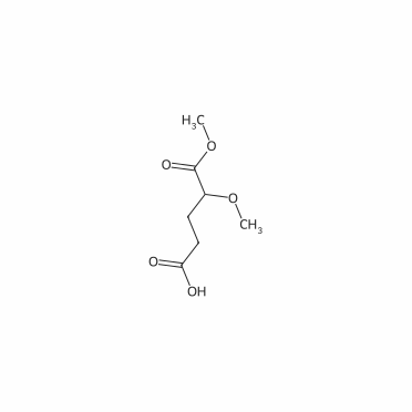 COC(=O)C(CCC(=O)O)OC